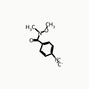 [C-]#[N+]c1ccc(C(=O)N(C)OC)cc1